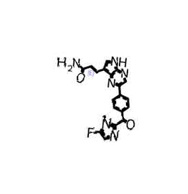 Cn1c(F)cnc1C(=O)c1ccc(-c2cnc3[nH]cc(/C=C/C(N)=O)c3n2)cc1